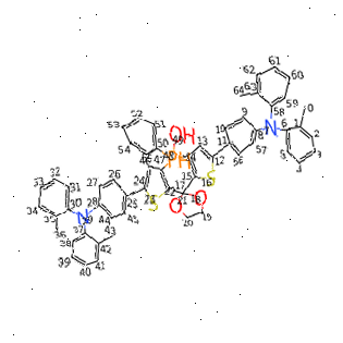 Cc1ccccc1N(c1ccc(-c2cc3c(s2)C2(OCCO2)c2sc(-c4ccc(N(c5ccccc5C)c5ccccc5C)cc4)cc2[PH]3(O)c2ccccc2)cc1)c1ccccc1C